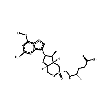 CCOc1nc(N)nc2c1ncn2[C@@H]1O[C@@H]2CO[P@@](=O)(CN[C@@H](C)COC(=O)C(C)C)O[C@H]2[C@@H]1C